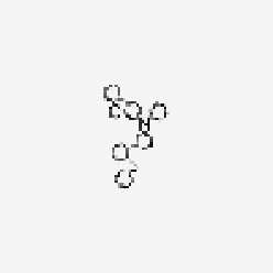 c1cc(-c2cccc3c2sc2ccccc23)cc(-n2c3ccccc3c3cc4c(cc32)oc2ccccc24)c1